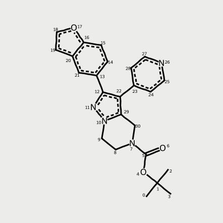 CC(C)(C)OC(=O)N1CCn2nc(-c3ccc4occc4c3)c(-c3ccncc3)c2C1